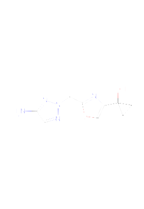 Nc1cnn(Cc2nc(C3(O)CC3)co2)n1